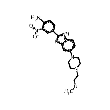 COCCN1CCN(c2ccc3[nH]c(-c4ccc(N)c([N+](=O)[O-])c4)nc3c2)CC1